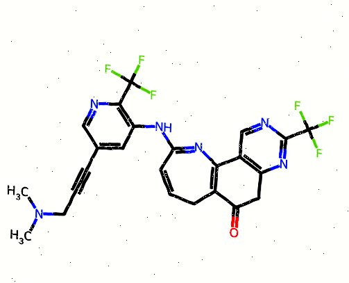 CN(C)CC#Cc1cnc(C(F)(F)F)c(NC2=NC3=C(CC=C2)C(=O)Cc2nc(C(F)(F)F)ncc23)c1